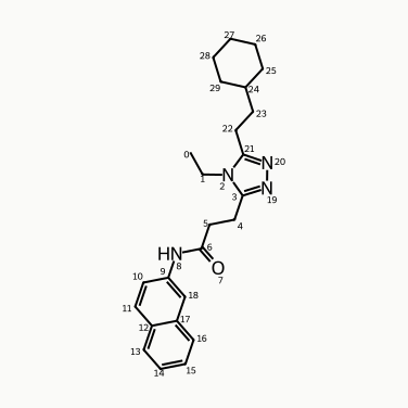 CCn1c(CCC(=O)Nc2ccc3ccccc3c2)nnc1CCC1CCCCC1